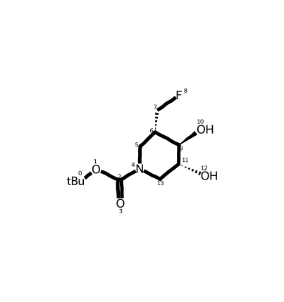 CC(C)(C)OC(=O)N1C[C@H](CF)[C@@H](O)[C@H](O)C1